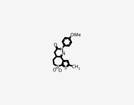 COc1ccc(N2N=C3c4cc(C)sc4S(=O)(=O)CCC3CC2=O)cc1